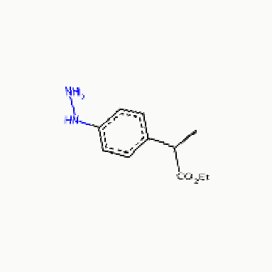 CCOC(=O)C(C)c1ccc(NN)cc1